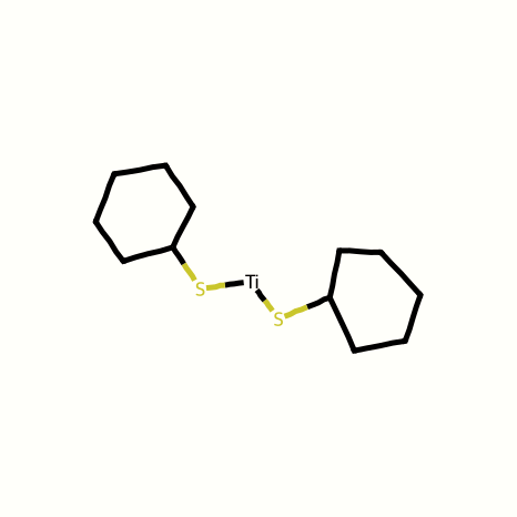 C1CCC([S][Ti][S]C2CCCCC2)CC1